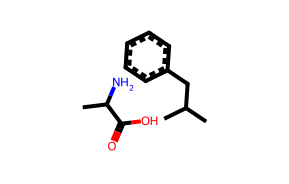 CC(C)Cc1ccccc1.CC(N)C(=O)O